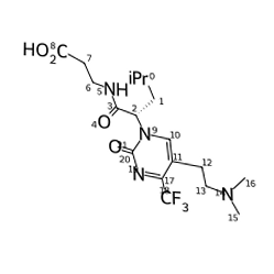 CC(C)C[C@@H](C(=O)NCCC(=O)O)n1cc(CCN(C)C)c(C(F)(F)F)nc1=O